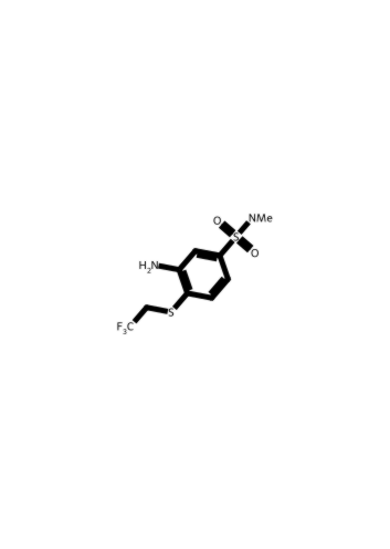 CNS(=O)(=O)c1ccc(SCC(F)(F)F)c(N)c1